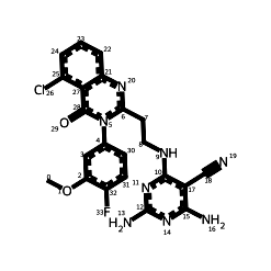 COc1cc(-n2c(CCNc3nc(N)nc(N)c3C#N)nc3cccc(Cl)c3c2=O)ccc1F